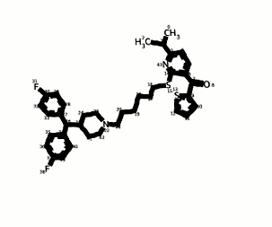 CC(C)c1ccc(C(=O)c2cccs2)c(SCCCCCCN2CCC(C(c3ccc(F)cc3)c3ccc(F)cc3)CC2)n1